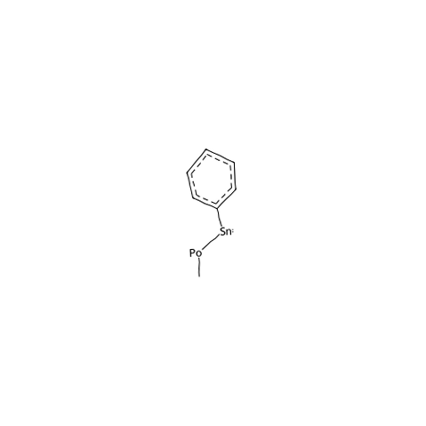 [CH3][Po][Sn][c]1ccccc1